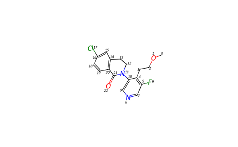 COCCc1c(F)cncc1N1CCc2cc(Cl)ccc2C1=O